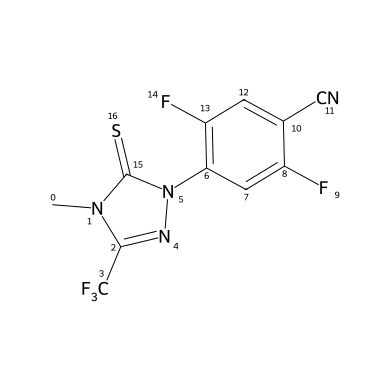 Cn1c(C(F)(F)F)nn(-c2cc(F)c(C#N)cc2F)c1=S